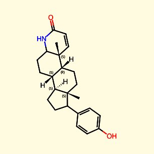 C[C@]12C=CC(=O)NC1CC[C@@H]1[C@H]2CC[C@]2(C)C(c3ccc(O)cc3)CC[C@@H]12